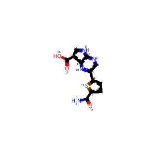 NC(=O)c1ccc(-c2cnc3[nH]cc(C(=O)O)c3n2)s1